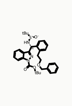 CC(C)(C)OC(=O)n1nc([C@H](N[S+]([O-])C(C)(C)C)c2ccccc2CCOCc2ccccc2)c2ccccc21